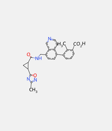 Cc1noc(C2CC2C(=O)NCc2ccc(-c3cccc(C(=O)O)c3C)c3ccncc23)n1